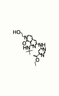 C=C(OCC)c1cc(Nc2cc3ccn(CCO)c(=O)c3c(NC(C)(C)C)n2)ncn1